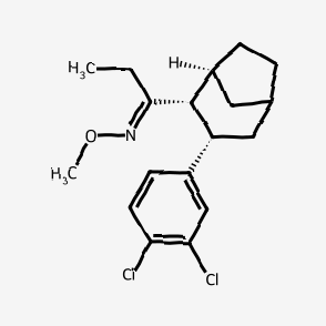 CCC(=NOC)[C@@H]1[C@H]2CCC(C2)C[C@@H]1c1ccc(Cl)c(Cl)c1